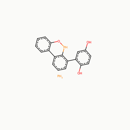 Oc1ccc(O)c(-c2cccc3c2POc2ccccc2-3)c1.P